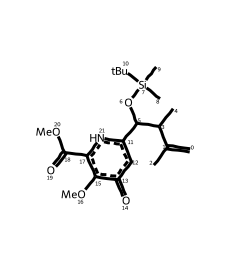 C=C(C)C(C)C(O[Si](C)(C)C(C)(C)C)c1cc(=O)c(OC)c(C(=O)OC)[nH]1